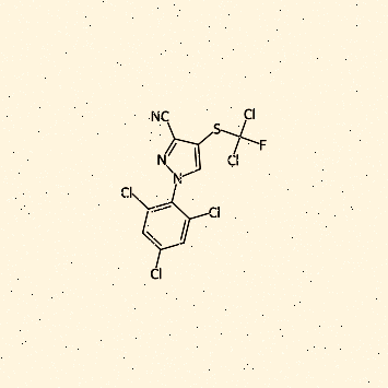 N#Cc1nn(-c2c(Cl)cc(Cl)cc2Cl)cc1SC(F)(Cl)Cl